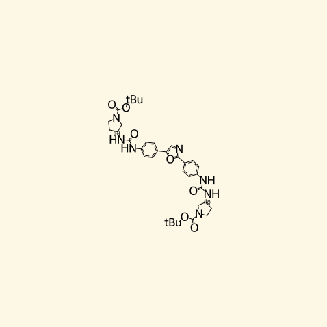 CC(C)(C)OC(=O)N1CC[C@@H](NC(=O)Nc2ccc(-c3cnc(-c4ccc(NC(=O)N[C@@H]5CCN(C(=O)OC(C)(C)C)C5)cc4)o3)cc2)C1